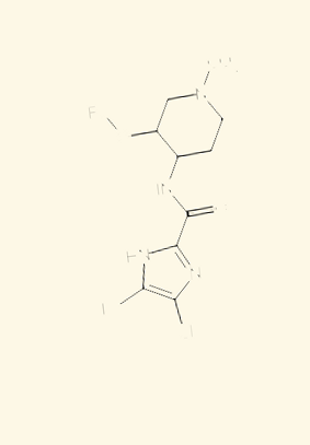 CCOC1CN(C(=O)O)CCC1NC(=O)c1nc(Cl)c(CC)[nH]1